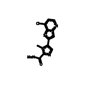 CNC(=O)c1ncc(-c2cc3nccc(Cl)c3s2)n1C